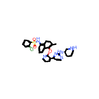 Cc1ccc2c(NS(=O)(=O)c3ccccc3Cl)cccc2c1Oc1ncccc1-c1ccnc(N[C@H]2CCCNC2)n1